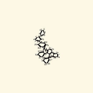 c1ccc(-c2cccc(-c3ccc(-n4c5ccccc5c5c4ccc4c6ccccc6n(-c6ccccc6)c45)cc3)c2)cc1